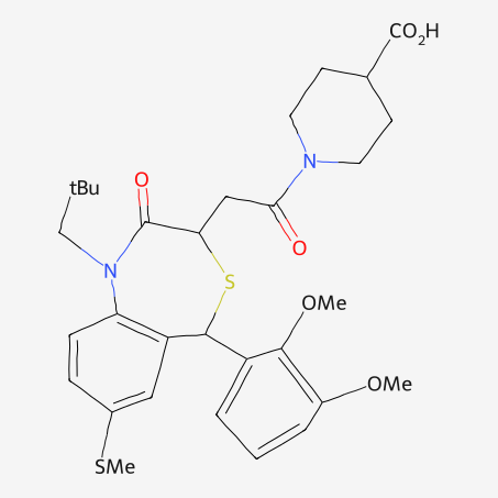 COc1cccc(C2SC(CC(=O)N3CCC(C(=O)O)CC3)C(=O)N(CC(C)(C)C)c3ccc(SC)cc32)c1OC